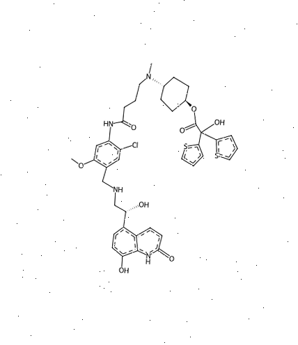 COc1cc(NC(=O)CCCN(C)[C@H]2CC[C@H](OC(=O)C(O)(c3cccs3)c3cccs3)CC2)c(Cl)cc1CNC[C@H](O)c1ccc(O)c2[nH]c(=O)ccc12